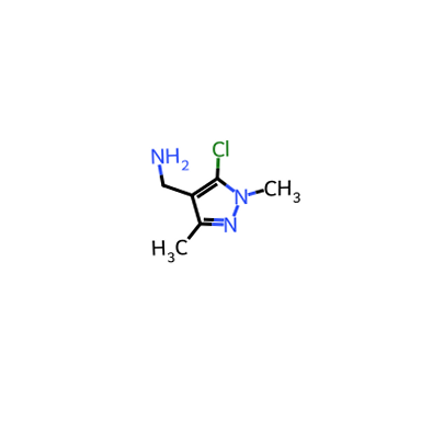 Cc1nn(C)c(Cl)c1CN